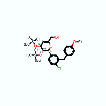 CCOc1ccc(Cc2cc([C@@H]3OC(CO)=C[C@H](O[Si](C)(C)C(C)(C)C)[C@H]3O[Si](C)(C)C(C)(C)C)ccc2Cl)cc1